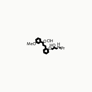 COc1cccc(C(=O)CCc2ccccc2OCC(O)CNC(C)C)c1.Cl